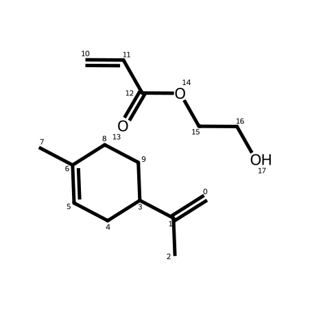 C=C(C)C1CC=C(C)CC1.C=CC(=O)OCCO